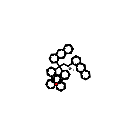 NC(CC(c1cccc2cc3ccccc3cc12)(c1cccc2cc3ccccc3cc12)c1cccc2cc3ccccc3cc12)c1cccc2cc3ccccc3cc12